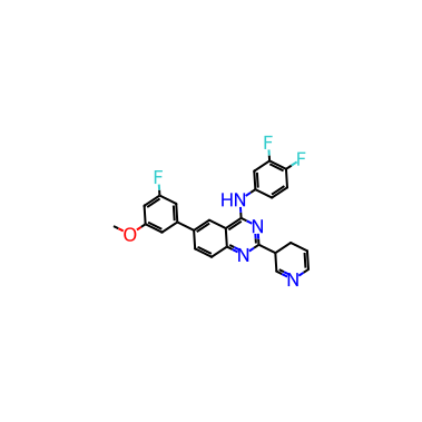 COc1cc(F)cc(-c2ccc3nc(C4C=NC=CC4)nc(Nc4ccc(F)c(F)c4)c3c2)c1